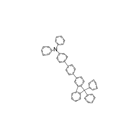 c1ccc(N(c2ccccc2)c2ccc(-c3ccc(-c4ccc5c(c4)-c4ccccc4C5(c4ccccc4)c4ccccc4)cc3)cc2)cc1